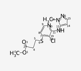 COC(=O)CCSc1ccnc(Nc2ccnn2C)c1Cl